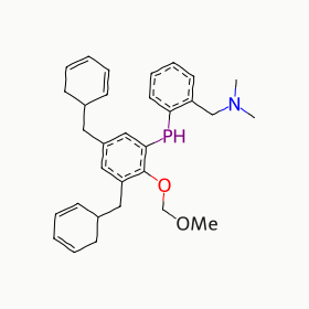 COCOc1c(CC2C=CC=CC2)cc(CC2C=CC=CC2)cc1Pc1ccccc1CN(C)C